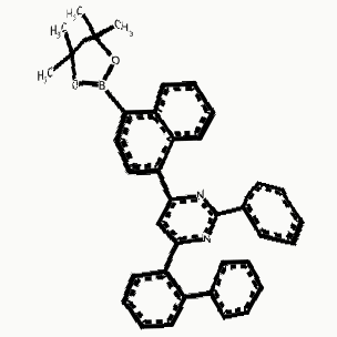 CC1(C)OB(c2ccc(-c3cc(-c4ccccc4-c4ccccc4)nc(-c4ccccc4)n3)c3ccccc23)OC1(C)C